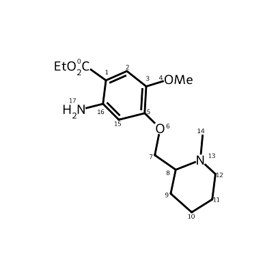 CCOC(=O)c1cc(OC)c(OCC2CCCCN2C)cc1N